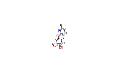 COc1cc(Oc2nccc(C)n2)ccc1Br